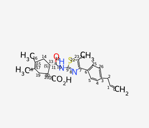 C=CCc1ccc(-c2nc(NC(=O)[C@H]3CC(C)=C(C)C[C@H]3C(=O)O)sc2C)cc1